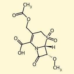 CO[C@@H]1C(=O)N2C(C(=O)O)=C(COC(C)=O)CS(=O)(=O)[C@H]12